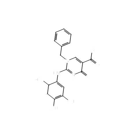 CC1=C(C)CC(C)C(Nc2nc(=O)c(C(=O)O)cn2Cc2ccccc2)=C1